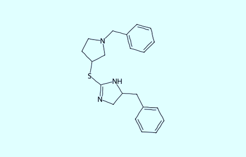 c1ccc(CC2CN=C(SC3CCN(Cc4ccccc4)C3)N2)cc1